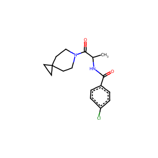 CC(NC(=O)c1ccc(Cl)cc1)C(=O)N1CCC2(CC1)CC2